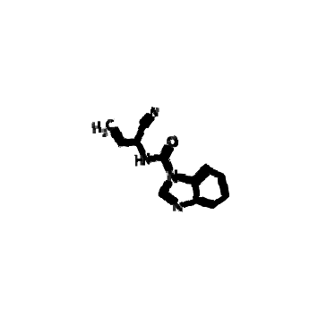 C=CC(C#N)NC(=O)n1cnc2ccccc21